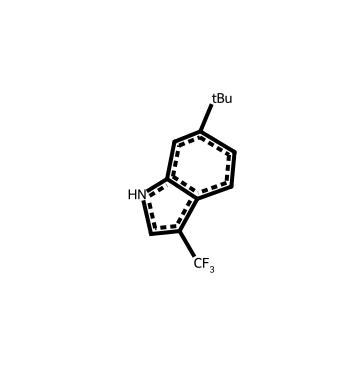 CC(C)(C)c1ccc2c(C(F)(F)F)c[nH]c2c1